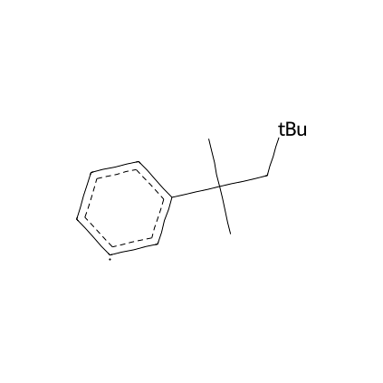 CC(C)(C)CC(C)(C)c1c[c]ccc1